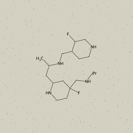 CC(C)NCC1(F)CCNC(CC(C)NCC2CCNCC2F)C1